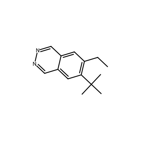 CCc1cc2cnncc2cc1C(C)(C)C